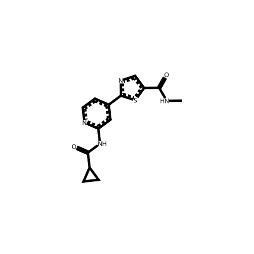 CNC(=O)c1cnc(-c2ccnc(NC(=O)C3CC3)c2)s1